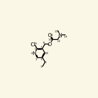 CCc1cnc(Cl)c(COC(=O)CN(C)C)c1